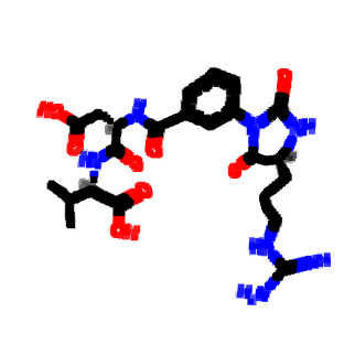 CC(C)[C@H](NC(=O)[C@H](CC(=O)O)NC(=O)c1cccc(N2C(=O)N[C@@H](CCCNC(=N)N)C2=O)c1)C(=O)O